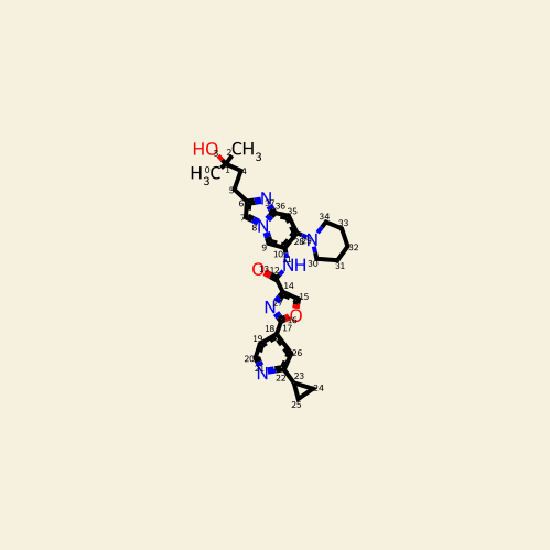 CC(C)(O)CCc1cn2cc(NC(=O)c3coc(-c4ccnc(C5CC5)c4)n3)c(N3CCCCC3)cc2n1